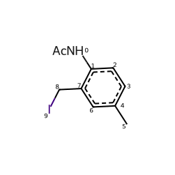 CC(=O)Nc1ccc(C)cc1CI